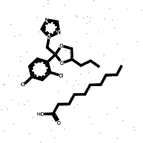 CCCC1COC(Cn2cncn2)(c2ccc(Cl)cc2Cl)O1.CCCCCCCCCC(=O)O